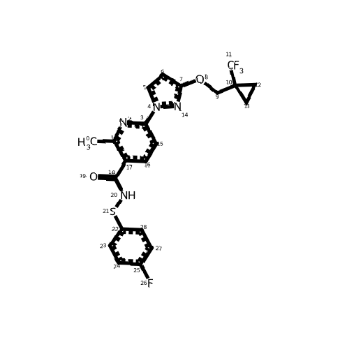 Cc1nc(-n2ccc(OCC3(C(F)(F)F)CC3)n2)ccc1C(=O)NSc1ccc(F)cc1